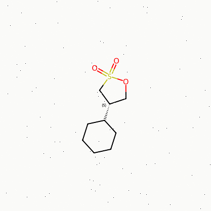 O=S1(=O)C[C@@H](C2CCCCC2)CO1